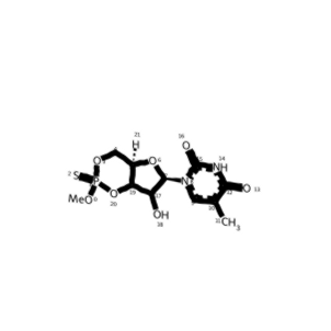 COP1(=S)OC[C@H]2O[C@@H](n3cc(C)c(=O)[nH]c3=O)C(O)C2O1